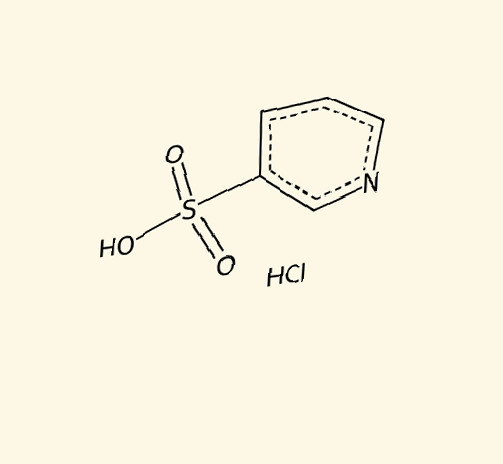 Cl.O=S(=O)(O)c1cccnc1